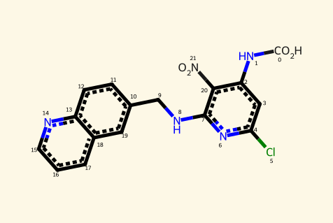 O=C(O)Nc1cc(Cl)nc(NCc2ccc3ncccc3c2)c1[N+](=O)[O-]